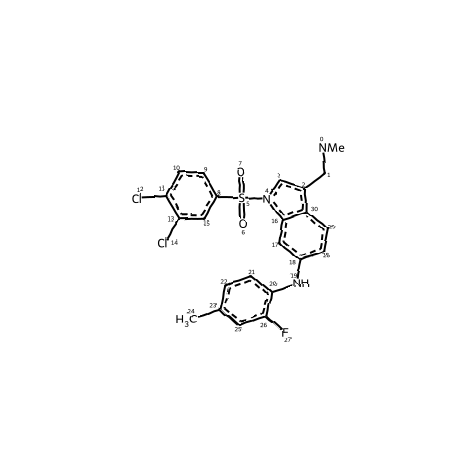 CNCc1cn(S(=O)(=O)c2ccc(Cl)c(Cl)c2)c2cc(Nc3ccc(C)cc3F)ccc12